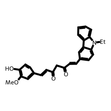 CCn1c2ccccc2c2cc(C=CC(=O)CC(=O)C=Cc3ccc(O)c(OC)c3)ccc21